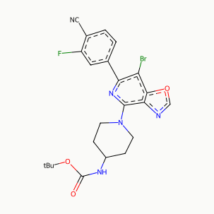 CC(C)(C)OC(=O)NC1CCN(c2nc(-c3ccc(C#N)c(F)c3)c(Br)c3ocnc23)CC1